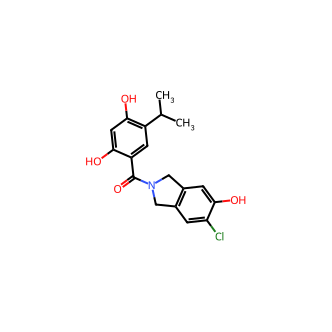 CC(C)c1cc(C(=O)N2Cc3cc(O)c(Cl)cc3C2)c(O)cc1O